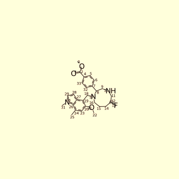 COC(=O)c1ccc(C2CNC[C@@H](F)CCCN2Cc2c(OC)cc(C)c3c2ccn3C)cc1